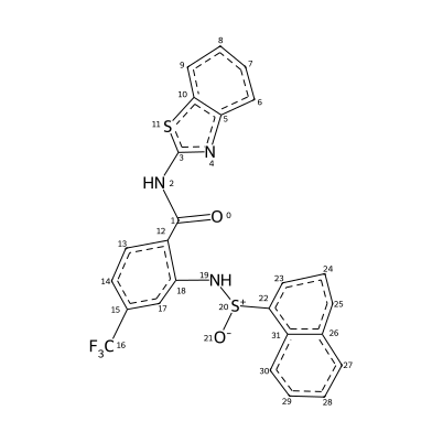 O=C(Nc1nc2ccccc2s1)c1ccc(C(F)(F)F)cc1N[S+]([O-])c1cccc2ccccc12